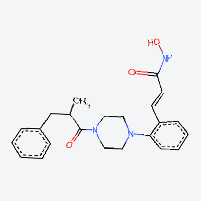 CC(Cc1ccccc1)C(=O)N1CCN(c2ccccc2/C=C/C(=O)NO)CC1